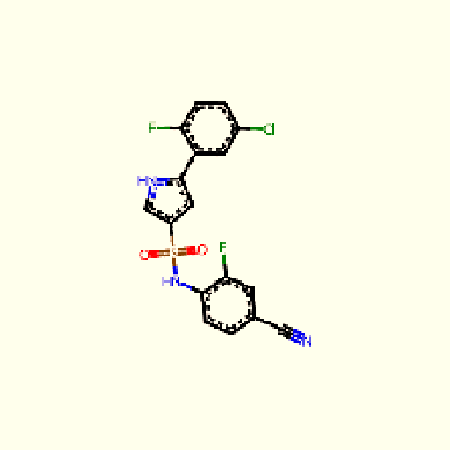 N#Cc1ccc(NS(=O)(=O)c2c[nH]c(-c3cc(Cl)ccc3F)c2)c(F)c1